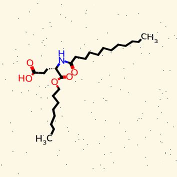 CCCCCCCCCCCC(=O)N[C@@H](CCC(=O)O)C(=O)OCCCCCCCC